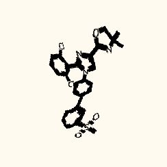 CC1(C)COC(c2cn(-c3ccc(-c4cccc(S(C)(=O)=O)c4)cc3)c(-c3c(Cl)cccc3Cl)n2)=N1